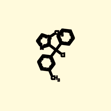 Cc1cccc(C(Cl)(c2ccccc2)c2nccn2C)c1